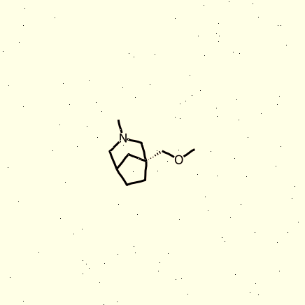 COC[C@@]12CCC(CN(C)C1)C2